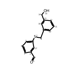 O=Cc1cccc(SCc2cccc(CO)c2)c1